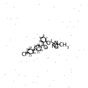 Cc1nc(COc2ccccc2C(=O)N2CCN(c3ccc(Cl)cc3)CC2)no1